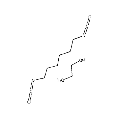 O=C=NCCCCCCN=C=O.OCCO